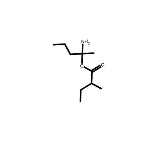 CCCC(C)(N)OC(=O)C(C)CC